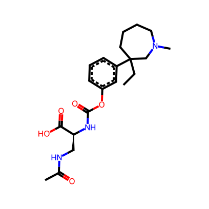 CCC1(c2cccc(OC(=O)N[C@@H](CNC(C)=O)C(=O)O)c2)CCCCN(C)C1